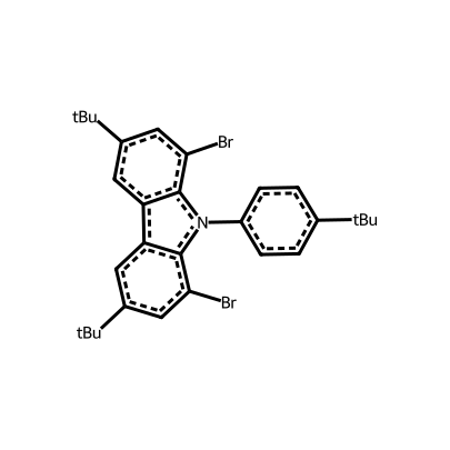 CC(C)(C)c1ccc(-n2c3c(Br)cc(C(C)(C)C)cc3c3cc(C(C)(C)C)cc(Br)c32)cc1